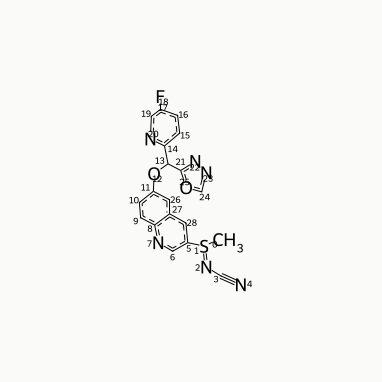 C/S(=N\C#N)c1cnc2ccc(OC(c3ccc(F)cn3)c3nnco3)cc2c1